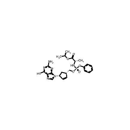 CC(C)OC(=O)[C@H](C)NP(=O)(OC[C@@H]1C=C[C@H](n2cnc3c(O)nc(N)nc32)C1)Oc1ccccc1